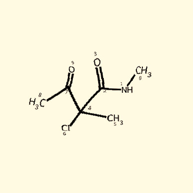 CNC(=O)C(C)(Cl)C(C)=O